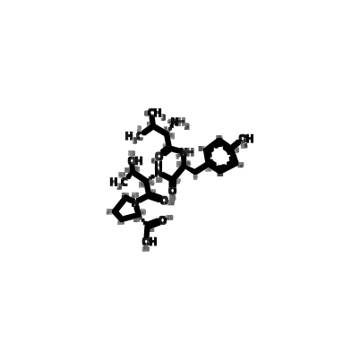 CC(C)[C@H](N)C(=O)N[C@@H](Cc1ccc(O)cc1)C(=O)N[C@H](C(=O)N1CCC[C@H]1C(=O)O)[C@@H](C)O